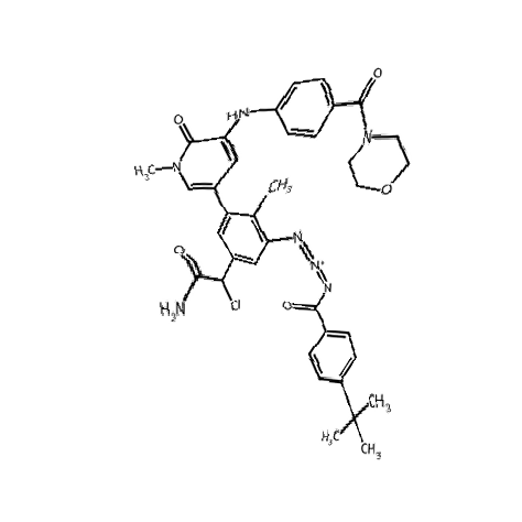 Cc1c(N=[N+]=NC(=O)c2ccc(C(C)(C)C)cc2)cc(C(Cl)C(N)=O)cc1-c1cc(Nc2ccc(C(=O)N3CCOCC3)cc2)c(=O)n(C)c1